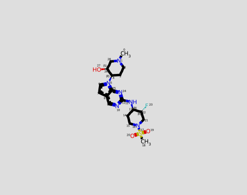 CN1CC[C@@H](n2ccc3cnc(N[C@@H]4CCN(S(C)(=O)=O)C[C@H]4F)nc32)[C@@H](O)C1